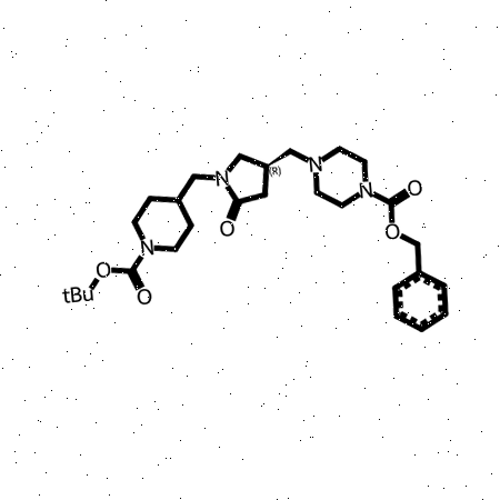 CC(C)(C)OC(=O)N1CCC(CN2C[C@@H](CN3CCN(C(=O)OCc4ccccc4)CC3)CC2=O)CC1